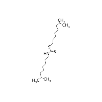 CC(C)CCCCCCNC(=S)SCCCCCCC(C)C